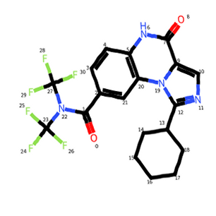 O=C(c1ccc2[nH]c(=O)c3cnc(C4CCCCC4)n3c2c1)N(C(F)(F)F)C(F)(F)F